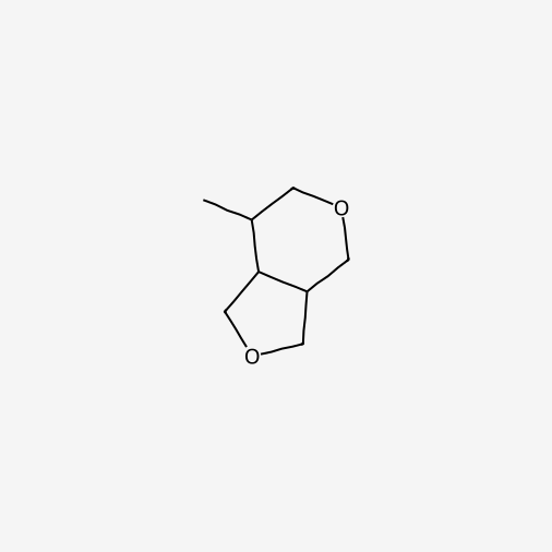 CC1COCC2COCC12